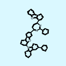 C1=CC(c2ccc3c(c2)oc2c(-n4c5ccccc5c5cc(-c6ccccc6)ccc54)cccc23)=NC(c2ccccc2)=NC=1c1cccc2c1oc1ccccc12